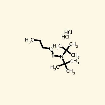 CCC[O][Ti][N](C(C)(C)C)C(C)(C)C.Cl.Cl